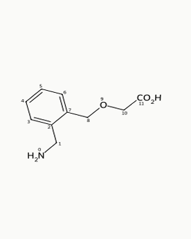 NCc1ccccc1COCC(=O)O